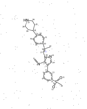 C=Nc1c(-c2cccc(S(C)(=O)=O)c2)cnn1/C=C(\C)c1ccc(C2CCNCC2)cc1